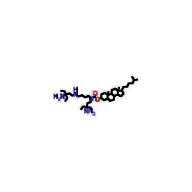 CCC(N)(CC)CCNCCCCN(CCC(N)(CC)CC)C(=O)OC1CCC2(C)C(=CCC3C2CCC2(C)C(CCCCC(C)C)CCC32)C1